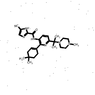 CN1CCN(C(C)(C)c2ccc(NC(=O)c3ncc(C#N)[nH]3)c(C3=CCC(C)(C)CC3)n2)CC1